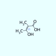 C/C(O)=C(\C)C(=O)O